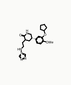 COc1ccc([C@H]2CNC(=O)C(CCNn3cnnc3)C2)cc1OC1CCCC1